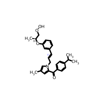 Cc1cc(C(=O)c2ccc(C(C)C)cc2)n(C/C=C/c2cccc(O[C@@H](C)COO)c2)c1